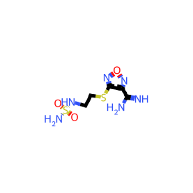 N=C(N)c1nonc1SCCNS(N)(=O)=O